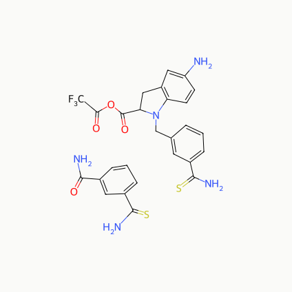 NC(=O)c1cccc(C(N)=S)c1.NC(=S)c1cccc(CN2c3ccc(N)cc3CC2C(=O)OC(=O)C(F)(F)F)c1